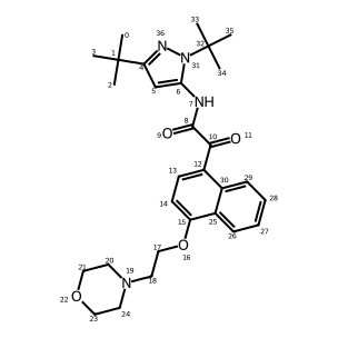 CC(C)(C)c1cc(NC(=O)C(=O)c2ccc(OCCN3CCOCC3)c3ccccc23)n(C(C)(C)C)n1